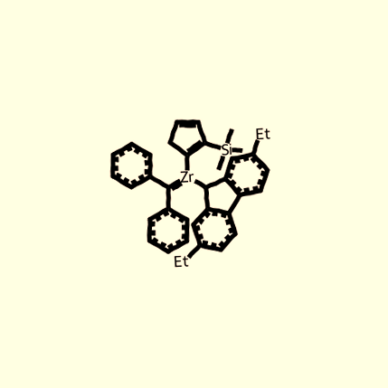 CCc1ccc2c(c1)[CH]([Zr]([C]1=C([Si](C)(C)C)C=CC1)=[C](c1ccccc1)c1ccccc1)c1cc(CC)ccc1-2